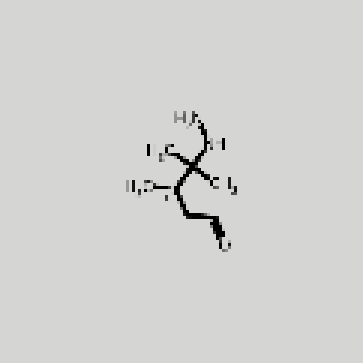 C[C@H](CC=O)C(C)(C)NN